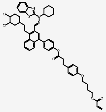 C=CC(=O)OCCCCOc1ccc(CCC(=O)Oc2ccc(-c3cc(/C=N/N(c4nc5ccccc5s4)C4CCCCC4)c(CCC4CCC(Cl)C(Cl)C4)c4ccccc34)cc2)cc1